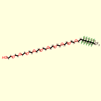 OCCOCCOCCOCCOCCOCCOCCOCCOCCOCCOCCC(F)(F)C(F)(F)C(F)(F)C(F)(F)C(F)(F)C(F)(F)F